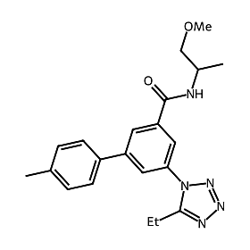 CCc1nnnn1-c1cc(C(=O)NC(C)COC)cc(-c2ccc(C)cc2)c1